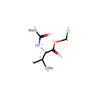 COC(=O)N[C@H](C(=O)OCCl)C(C)OC